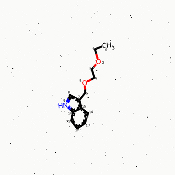 CCOCCOCc1c[nH]c2ccccc12